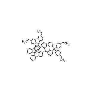 C=Cc1ccc(C2(c3ccc(C=C)cc3)c3ccccc3-c3c(N(c4ccc5c(c4)C4(c6ccccc6-c6ccccc64)c4ccccc4-5)c4cccc5c4-c4ccccc4C5(c4ccc(C=C)cc4)c4ccc(C=C)cc4)cccc32)cc1